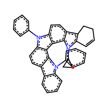 C1=Cc2c(c3ccc4c(c5c(ccc6c7ccccc7n(-c7ccccc7)c65)n4-c4ccccc4)c3n2C2CC2)CC1